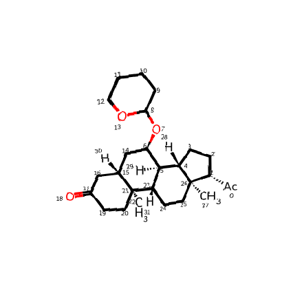 CC(=O)[C@H]1CC[C@H]2[C@@H]3[C@H](OC4CCCCO4)C[C@H]4CC(=O)CC[C@]4(C)[C@H]3CC[C@]12C